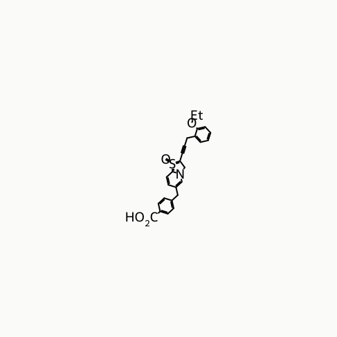 CCOc1ccccc1CC#CC1=S(=O)=C2C=CC(Cc3ccc(C(=O)O)cc3)=CN2C1